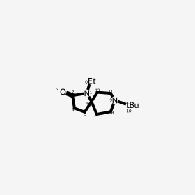 CCN1C(=O)CCC12CCN(C(C)(C)C)CC2